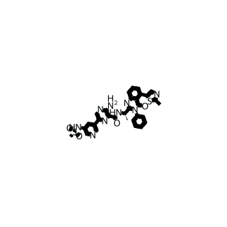 Cc1ncc(-c2cccc3nc([C@H](C)NC(=O)c4nc(-c5cncc(NS(C)(=O)=O)c5)cnc4N)n(-c4ccccc4)c(=O)c23)s1